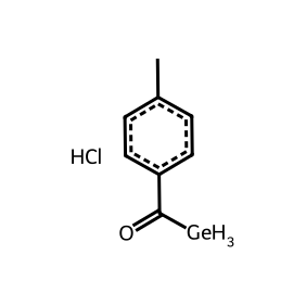 Cc1ccc([C](=O)[GeH3])cc1.Cl